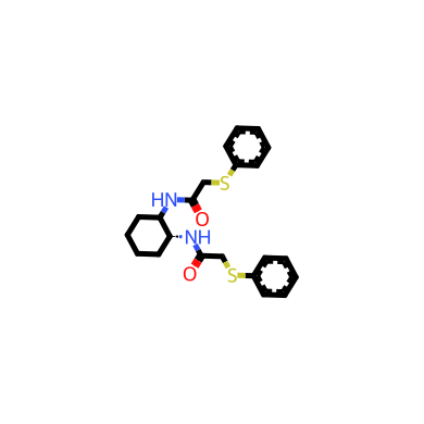 O=C(CSc1ccccc1)NC1CCCC[C@H]1NC(=O)CSc1ccccc1